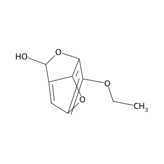 CCOc1c2c3oc1cc3C(O)O2